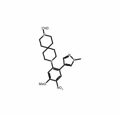 COc1cc(N2CCC3(CCN(C=O)CC3)CC2)c(-c2cnn(C)c2)cc1[N+](=O)[O-]